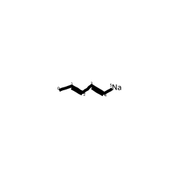 CC=CC=[CH][Na]